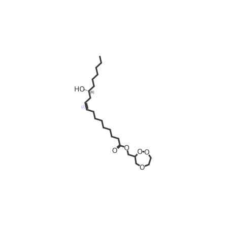 CCCCCC[C@@H](O)C/C=C\CCCCCCCC(=O)OCC1COCCOO1